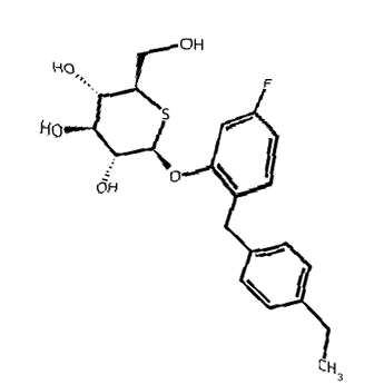 CCc1ccc(Cc2ccc(F)cc2O[C@@H]2S[C@H](CO)[C@@H](O)[C@H](O)[C@H]2O)cc1